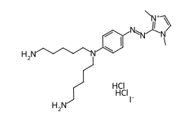 Cl.Cl.Cn1cc[n+](C)c1/N=N/c1ccc(N(CCCCCN)CCCCCN)cc1.[I-]